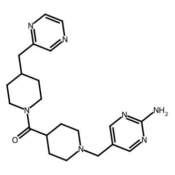 Nc1ncc(CN2CCC(C(=O)N3CCC(Cc4cnccn4)CC3)CC2)cn1